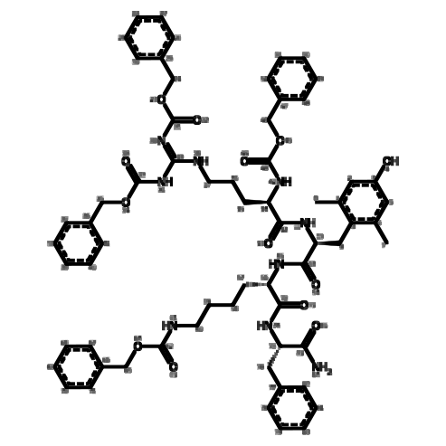 Cc1cc(O)cc(C)c1C[C@H](NC(=O)[C@@H](CCCN/C(=N\C(=O)OCc1ccccc1)NC(=O)OCc1ccccc1)NC(=O)OCc1ccccc1)C(=O)N[C@@H](CCCCNC(=O)OCc1ccccc1)C(=O)N[C@@H](Cc1ccccc1)C(N)=O